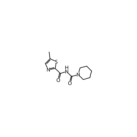 Cc1cnc(C(=O)NC(=O)N2CCCCC2)s1